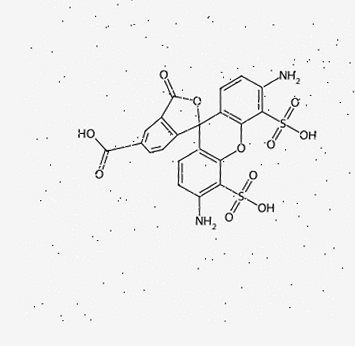 Nc1ccc2c(c1S(=O)(=O)O)Oc1c(ccc(N)c1S(=O)(=O)O)C21OC(=O)c2cc(C(=O)O)ccc21